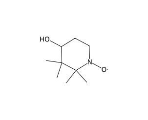 CC1(C)C(O)CCN([O])C1(C)C